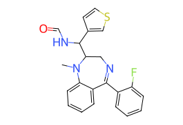 CN1c2ccccc2C(c2ccccc2F)=NCC1C(NC=O)c1ccsc1